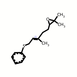 C/C(=C\CSc1ccccc1)CCC1OC1(C)C